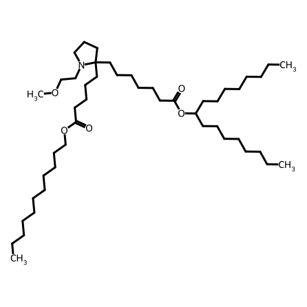 CCCCCCCCCCCOC(=O)CCCCC1(CCCCCCC(=O)OC(CCCCCCCC)CCCCCCCC)CCCN1CCOC